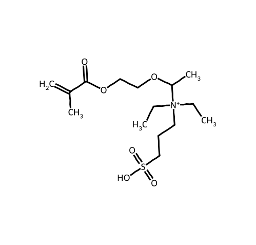 C=C(C)C(=O)OCCOC(C)[N+](CC)(CC)CCCS(=O)(=O)O